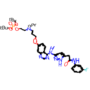 CCCN(CCCOc1ccc2c(Nc3cc(CC(=O)Nc4cccc(F)c4)[nH]n3)ncnc2c1)CCOP(=O)(OC(C)(C)C)OC(C)(C)C